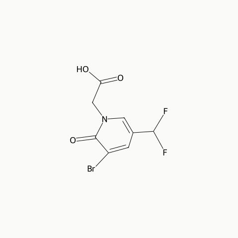 O=C(O)Cn1cc(C(F)F)cc(Br)c1=O